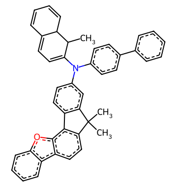 CC1C(N(c2ccc(-c3ccccc3)cc2)c2ccc3c(c2)C(C)(C)c2ccc4c(oc5ccccc54)c2-3)=CC=C2C=CC=CC21